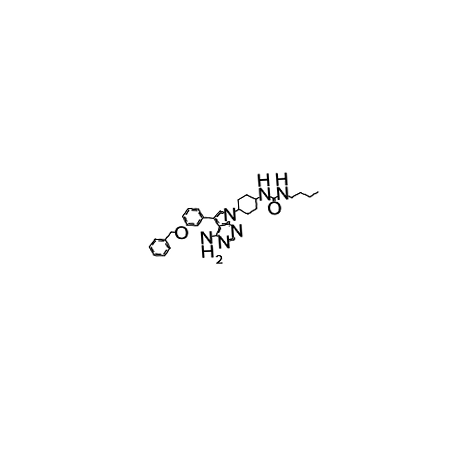 CCCCNC(=O)NC1CCC(n2cc(-c3cccc(OCc4ccccc4)c3)c3c(N)ncnc32)CC1